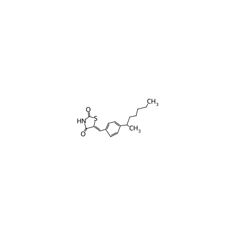 CCCCCC(C)c1ccc(/C=C2\SC(=O)NC2=O)cc1